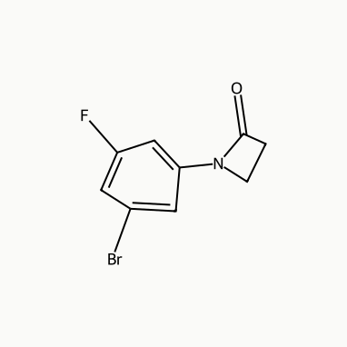 O=C1CCN1c1cc(F)cc(Br)c1